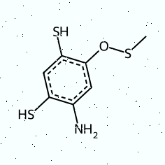 CSOc1cc(N)c(S)cc1S